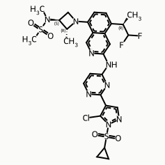 C[C@H](c1ccc(N2C[C@H](N(C)S(C)(=O)=O)[C@H]2C)c2cnc(Nc3ccnc(-c4cnn(S(=O)(=O)C5CC5)c4Cl)n3)cc12)C(F)F